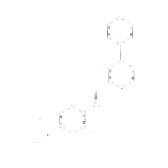 Cc1cc(C(F)(F)F)ccc1/N=C/c1cccc(-c2ccccc2)c1O